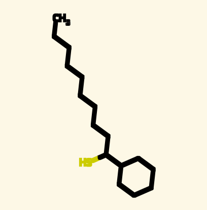 CCCCCCCCCC(S)C1CCCCC1